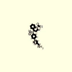 CCC(=O)N1c2ccccc2[C@H](Nc2ccc(-n3cc(CN)nn3)cc2)C[C@@H]1C.Cl